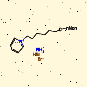 Br.CCCCCCCCCCCCCCCC[n+]1ccccc1.N.[Br-]